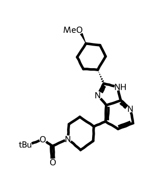 CO[C@H]1CC[C@H](c2nc3c(C4CCN(C(=O)OC(C)(C)C)CC4)ccnc3[nH]2)CC1